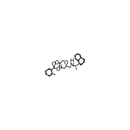 Cc1ccccc1C(=O)ON1CC(CN[C@H](C)c2cccc3ccccc23)OCC1=O